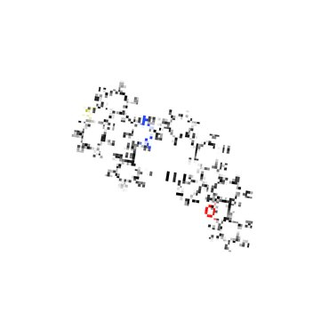 CC1(C)c2cc(-c3cccc(C4=NC(c5cccc6sc7ccccc7c56)CC(c5ccccc5)=N4)c3)ccc2-c2ccc3c(oc4ccccc43)c21